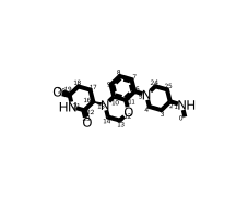 CNC1CCN(c2cccc3c2OCCN3[C@@H]2CCC(=O)NC2=O)CC1